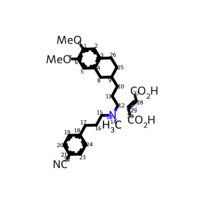 COc1cc2c(cc1OC)CC(CCCN(C)CCCc1ccc(C#N)cc1)CC2.O=C(O)/C=C/C(=O)O